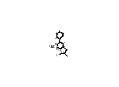 CC1=Cc2cc(-c3ccccc3)ccc2[CH]1[Hf+2].[Cl-].[Cl-]